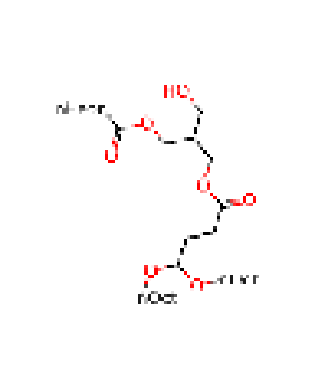 CCCCCCCCOC(CCC(=O)OCC(CO)COC(=O)CCCCCCC)OCCCCCCCC